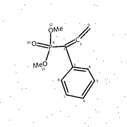 C=C=C(c1ccccc1)P(=O)(OC)OC